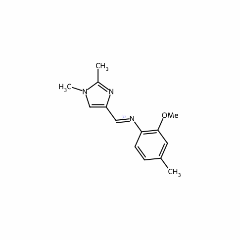 COc1cc(C)ccc1/N=C/c1cn(C)c(C)n1